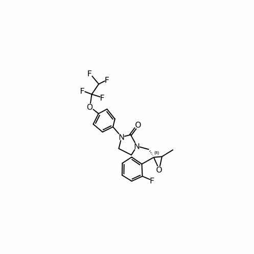 CC1O[C@@]1(CN1CCN(c2ccc(OC(F)(F)C(F)F)cc2)C1=O)c1ccccc1F